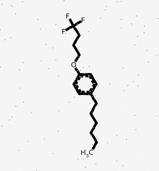 CCCCCCc1ccc(OCCCC(F)(F)F)cc1